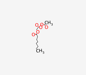 CCCCCCCC(=O)OCC(=O)OOC(C)=O